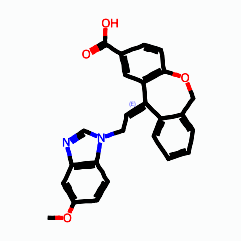 COc1ccc2c(c1)ncn2C/C=C1\c2ccccc2COc2ccc(C(=O)O)cc21